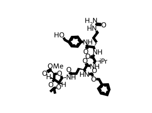 COC(=O)[C@H]1O[C@H](NC(=O)CC[C@H](NC(=O)OCc2ccccc2)C(=O)N[C@H](C(=O)N[C@@H](CCCNC(N)=O)C(=O)Nc2ccc(CO)cc2)C(C)C)[C@@H]2OC(C)(C)O[C@@H]21